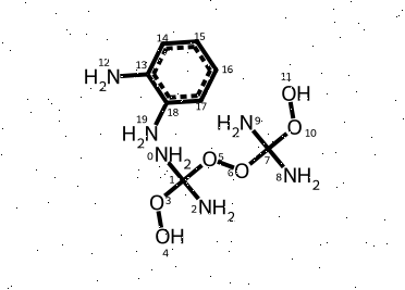 NC(N)(OO)OOC(N)(N)OO.Nc1ccccc1N